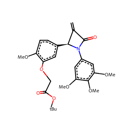 C=C1C(=O)N(c2cc(OC)c(OC)c(OC)c2)[C@H]1c1ccc(OC)c(OCC(=O)OC(C)(C)C)c1